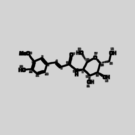 COc1cc(/C=C/C(=O)N[C@@H]2[C@@H](O)[C@H](O)[C@@H](CO)O[C@H]2O)ccc1O